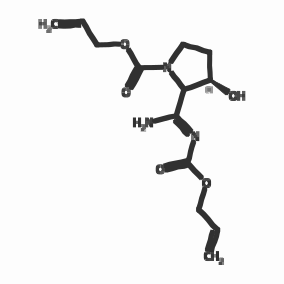 C=CCOC(=O)N=C(N)C1[C@H](O)CCN1C(=O)OCC=C